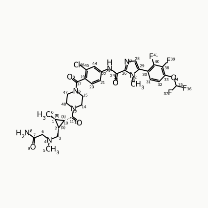 C[C@@H]1[C@H](CN(C)CC(N)=O)[C@H]1C(=O)N1CCN(C(=O)c2ccc(NC(=O)c3ncc(-c4ccc(OC(F)F)c(F)c4F)n3C)cc2Cl)CC1